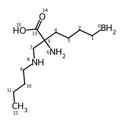 BCCCCC(N)(CNCCCC)C(=O)O